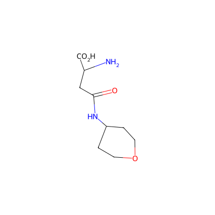 NC(CC(=O)NC1CCOCC1)C(=O)O